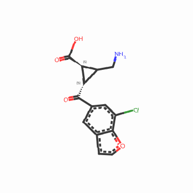 NCC1[C@H](C(=O)O)[C@H]1C(=O)c1cc(Cl)c2occc2c1